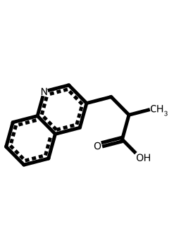 CC(Cc1cnc2ccccc2c1)C(=O)O